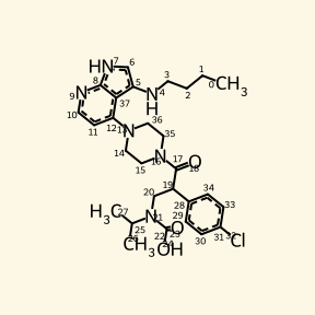 CCCCNc1c[nH]c2nccc(N3CCN(C(=O)C(CN(C(=O)O)C(C)C)c4ccc(Cl)cc4)CC3)c12